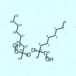 CCCCCCCC(C)(OO)OOC(C)(CCCCCCC)OO